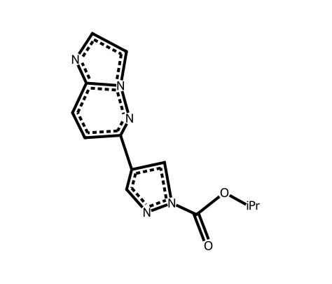 CC(C)OC(=O)n1cc(-c2ccc3nccn3n2)cn1